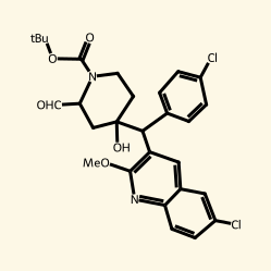 COc1nc2ccc(Cl)cc2cc1C(c1ccc(Cl)cc1)C1(O)CCN(C(=O)OC(C)(C)C)C(C=O)C1